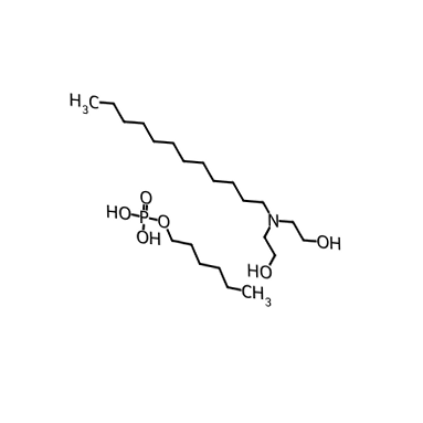 CCCCCCCCCCCCN(CCO)CCO.CCCCCCOP(=O)(O)O